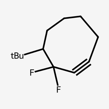 CC(C)(C)C1CCCCC#CC1(F)F